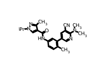 Cc1ccc(NC(=O)c2cn(C(C)C)nc2C)cc1-c1cnc(N(C)C)c(C#N)c1